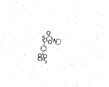 COC(=O)c1ccc(-c2csc3c(=O)cc(N4CCCCC4)oc23)cc1